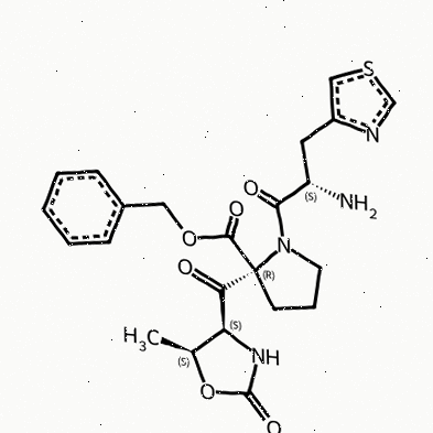 C[C@@H]1OC(=O)N[C@@H]1C(=O)[C@@]1(C(=O)OCc2ccccc2)CCCN1C(=O)[C@@H](N)Cc1cscn1